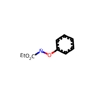 CCOC(=O)[N]Oc1ccccc1